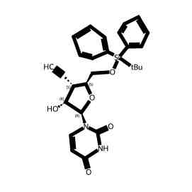 C#C[C@H]1[C@@H](O)[C@H](n2ccc(=O)[nH]c2=O)O[C@@H]1CO[Si](c1ccccc1)(c1ccccc1)C(C)(C)C